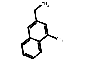 CCc1[c]c2ccccc2c(C)c1